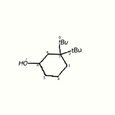 CC(C)(C)C1(C(C)(C)C)CCCC(O)C1